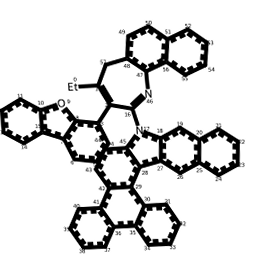 CCC1=C(c2cccc3c2oc2ccccc23)C(n2c3cc4ccccc4cc3c3c4c5ccccc5c5ccccc5c4ccc32)=Nc2c(ccc3ccccc23)C1